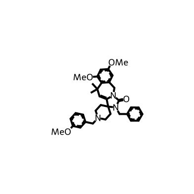 COc1cccc(CN2CCC3(CC2)C2=CC(C)(C)c4c(cc(OC)cc4OC)CN2C(=O)N3Cc2ccccc2)c1